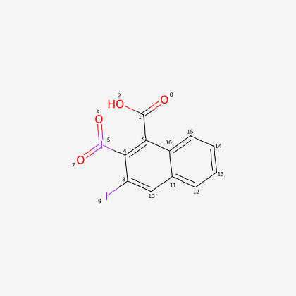 O=C(O)c1c(I(=O)=O)c(I)cc2ccccc12